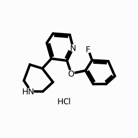 Cl.Fc1ccccc1Oc1ncccc1C1CCNCC1